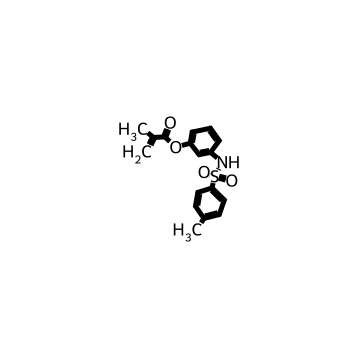 C=C(C)C(=O)Oc1cccc(NS(=O)(=O)c2ccc(C)cc2)c1